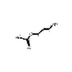 CCC/C=C/COC(=O)CCCC